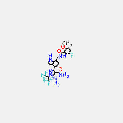 COc1ccc(F)cc1C(=O)NCc1ccc(-c2nn(C(C(F)(F)F)C(F)(F)F)c(N)c2C(N)=O)c2cc[nH]c12